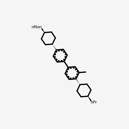 CCCCCCCCC[C@H]1CC[C@H](c2ccc(-c3ccc([C@H]4CC[C@H](CCC)CC4)c(C)c3)cc2)CC1